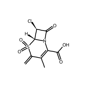 C=C1C(C)=C(C(=O)O)N2C(=O)[C@H](Cl)[C@H]2S1(=O)=O